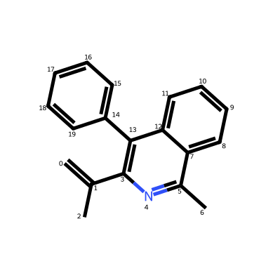 C=C(C)c1nc(C)c2ccccc2c1-c1ccccc1